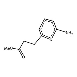 COC(=O)CCc1cccc(N)n1